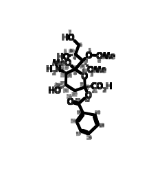 COO[C@](OC)([C@H](O)CO)[C@]1(OC)O[C@](OC(=O)c2ccccc2)(C(=O)O)C[C@H](O)[C@H]1N